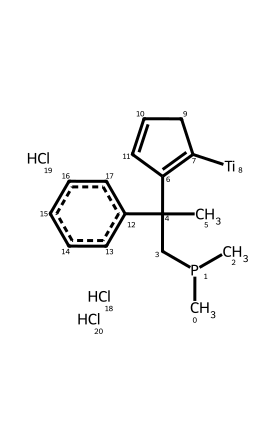 CP(C)CC(C)(C1=[C]([Ti])CC=C1)c1ccccc1.Cl.Cl.Cl